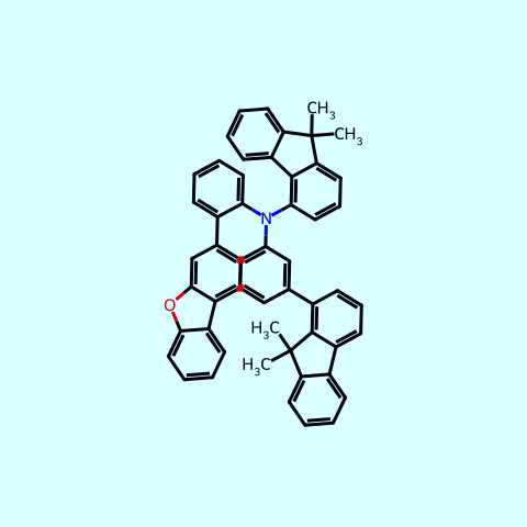 CC1(C)c2ccccc2-c2c(N(c3cccc(-c4cccc5c4C(C)(C)c4ccccc4-5)c3)c3ccccc3-c3ccc4c(c3)oc3ccccc34)cccc21